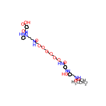 CC(C)(C)OC(=O)NCCc1ccc(O)c(/N=N/c2ccc(C(=O)NCCOCCOCCOCCOCCOCCOCCC(=O)NCCCCCn3/c(=N/C(=O)c4cccc(C(=O)O)c4)[nH]c4ccccc43)cc2)c1